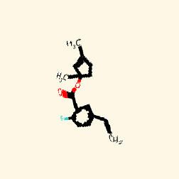 C=Cc1ccc(F)c(C(=O)OC2(C)C=C(C)CC2)c1